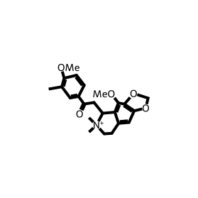 COc1ccc(C(=O)CC2c3c(cc4c(c3OC)OCO4)CC[N+]2(C)C)cc1C